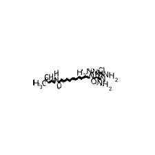 CN(C)CCCNC(=O)CCCCCCCCCCN(C(=N)N)C(=O)c1nc(Cl)c(N)nc1N